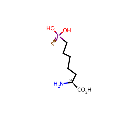 N[C@@H](CCCCCP(O)(O)=S)C(=O)O